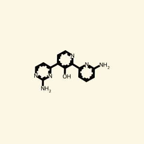 Nc1cccc(-c2nccc(-c3ccnc(N)n3)c2O)n1